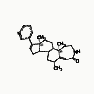 CC1CC2C(CC[C@]3(C)C(c4cccnc4)=CCC23)[C@@]2(C)CCNC(=O)C=C12